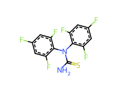 NC(=S)N(c1c(F)cc(F)cc1F)c1c(F)cc(F)cc1F